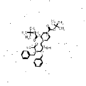 CC(C)(C)NC(=O)[C@@H]1CN(C(=O)OC(C)(C)C)CCN1C[C@H](O)[C@H](Cc1ccccc1)N(Cc1ccccc1)C(=O)O